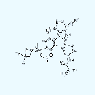 C=C(F)C(=O)Nc1ccc(-c2[nH]c3c(C#N)cnc(N)c3c2-c2ccc(C(=O)NC3CC(F)(F)C3)c(OC)c2)cc1